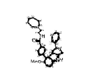 COc1ccc2[nH]c3cnc(-c4cccnc4)cc3c2c1-c1ccc(C(=O)NCCN2CCCCCC2)cc1